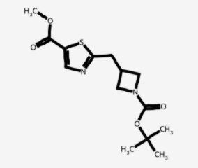 COC(=O)c1cnc(CC2CN(C(=O)OC(C)(C)C)C2)s1